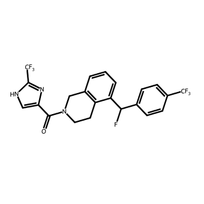 O=C(c1c[nH]c(C(F)(F)F)n1)N1CCc2c(cccc2C(F)c2ccc(C(F)(F)F)cc2)C1